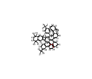 CC(C)(C)c1ccc(N2B3c4oc5cc6c(cc5c4N(c4ccc(C(C)(C)C)cc4-c4ccccc4)c4cc5ccccc5c(c43)-c3ccc4oc5ccccc5c4c32)C(C)(C)CCC6(C)C)cc1